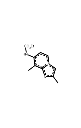 CCOC(=O)Nc1ccn2cc(C)nc2c1C